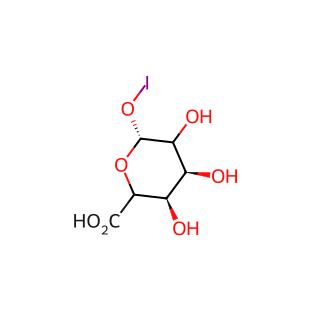 O=C(O)C1O[C@H](OI)C(O)[C@@H](O)[C@H]1O